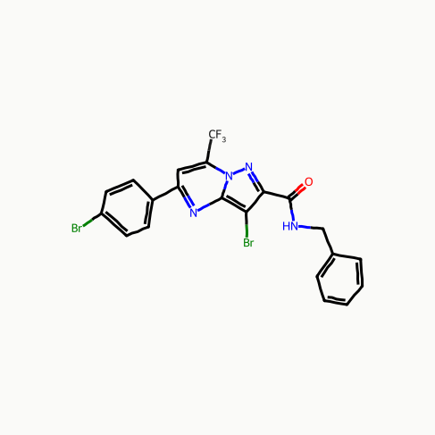 O=C(NCc1ccccc1)c1nn2c(C(F)(F)F)cc(-c3ccc(Br)cc3)nc2c1Br